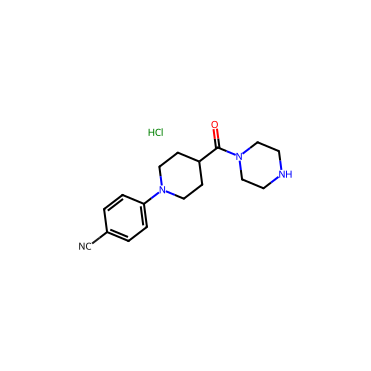 Cl.N#Cc1ccc(N2CCC(C(=O)N3CCNCC3)CC2)cc1